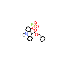 CN1c2ccccc2C(C(=O)OCc2ccccc2)c2c(OS(=O)(=O)F)cccc21